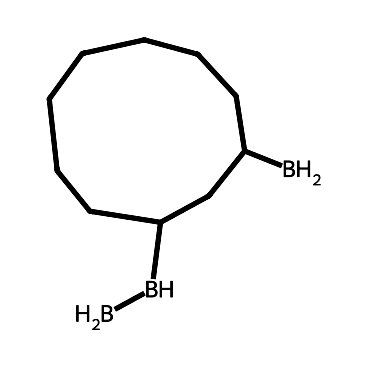 BBC1CCCCCCCC(B)C1